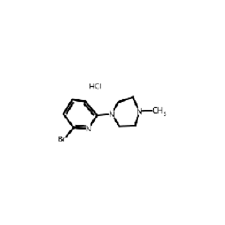 CN1CCN(c2cccc(Br)n2)CC1.Cl